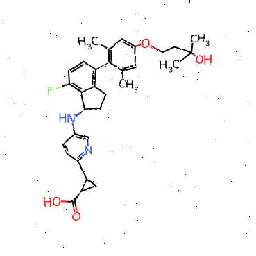 Cc1cc(OCCC(C)(C)O)cc(C)c1-c1ccc(F)c2c1CC[C@H]2Nc1ccc(C2C[C@H]2C(=O)O)nc1